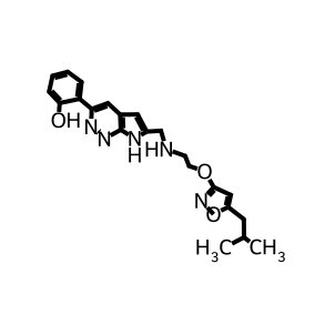 CC(C)Cc1cc(OCCNCc2cc3cc(-c4ccccc4O)nnc3[nH]2)no1